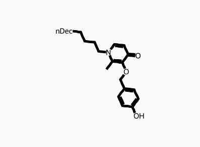 CCCCCCCCCCCCCCn1ccc(=O)c(OCc2ccc(O)cc2)c1C